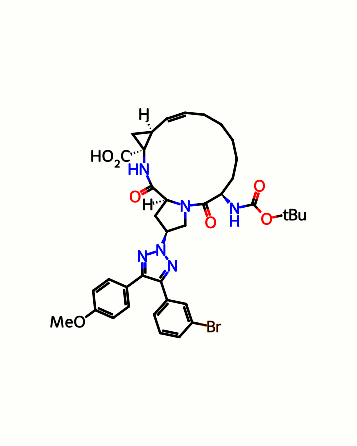 COc1ccc(-c2nn([C@H]3C[C@H]4C(=O)N[C@@]5(C(=O)O)C[C@H]5/C=C\CCCCC[C@@H](NC(=O)OC(C)(C)C)C(=O)N4C3)nc2-c2cccc(Br)c2)cc1